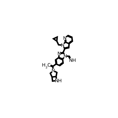 C=C(c1ccc2c(c1)nc(-c1cc3cccnc3n1CC1CC1)n2C=N)N1CC2CNC2C1